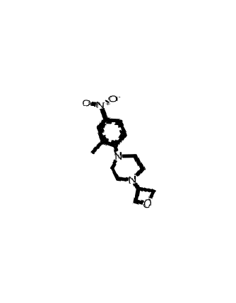 Cc1cc([N+](=O)[O-])ccc1N1CCN(C2COC2)CC1